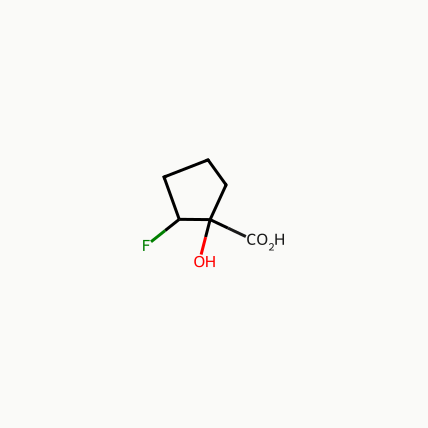 O=C(O)C1(O)CCCC1F